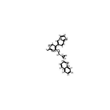 Cc1ncc(-c2ccc3nccn3c2)c(OC[C@H]2C[C@@H]2c2ccc3ccccc3n2)n1